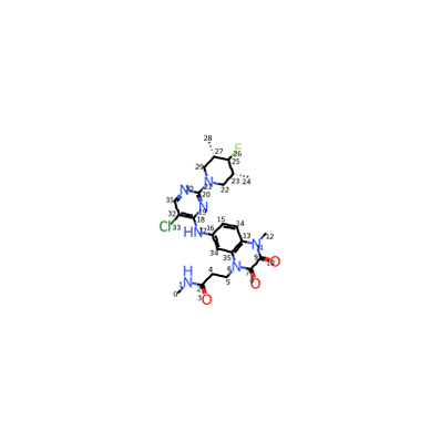 CNC(=O)CCn1c(=O)c(=O)n(C)c2ccc(Nc3nc(N4C[C@@H](C)C(F)[C@@H](C)C4)ncc3Cl)cc21